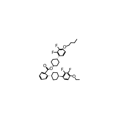 CCCCOc1ccc([C@H]2CC[C@H](OC(=O)c3ccccc3[C@H]3CC[C@H](c4ccc(OCC)c(F)c4F)CC3)CC2)c(F)c1F